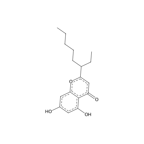 CCCCCC(CC)c1cc(=O)c2c(O)cc(O)cc2o1